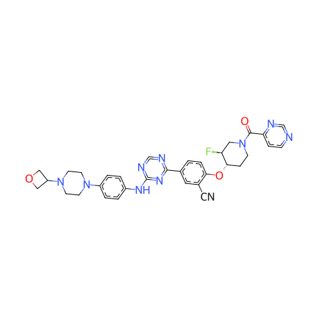 N#Cc1cc(-c2ncnc(Nc3ccc(N4CCN(C5COC5)CC4)cc3)n2)ccc1O[C@H]1CCN(C(=O)c2ccncn2)C[C@@H]1F